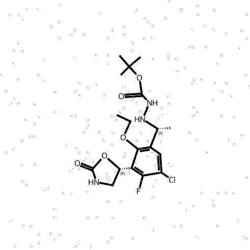 CCOc1c([C@@H](C)NNC(=O)OC(C)(C)C)cc(Cl)c(F)c1[C@@H]1CNC(=O)O1